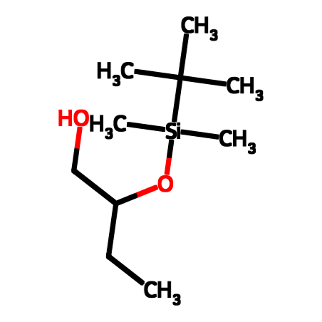 CCC(CO)O[Si](C)(C)C(C)(C)C